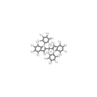 [2H]c1c([2H])c([2H])c(-n2c(C(C)(C)c3c([2H])c4c([2H])c([2H])c([2H])c([2H])c4n3-c3c([2H])c([2H])c([2H])c([2H])c3[2H])c([2H])c3c([2H])c([2H])c([2H])c([2H])c32)c([2H])c1[2H]